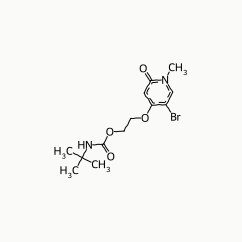 Cn1cc(Br)c(OCCOC(=O)NC(C)(C)C)cc1=O